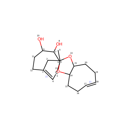 CC1(C/C2=C\CCC(O)C(O)CC2)OC2CC/C=C/CCC2O1